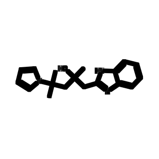 CC(O)(Cc1nc2ccccc2[nH]1)CC(C)(C)n1cccc1